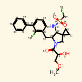 COCC(O)C(=O)N1CC2(CC2)[C@H](NS(=O)(=O)CF)[C@@H]1Cc1cccc(-c2ccccc2)c1F